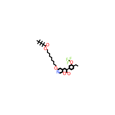 CCc1ccc(-c2cc3cc(OCCCCCCCCCOC(=O)C(C)(C)C(C)(C)C(C)(C)C)ncc3oc2=O)cc1OC(F)(F)F